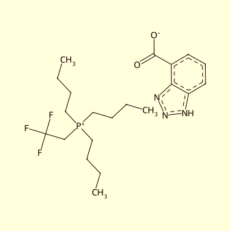 CCCC[P+](CCCC)(CCCC)CC(F)(F)F.O=C([O-])c1cccc2[nH]nnc12